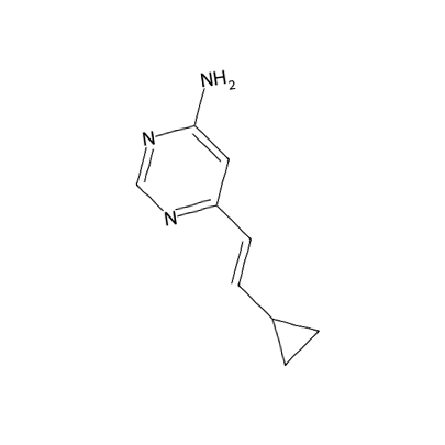 Nc1cc(C=CC2CC2)ncn1